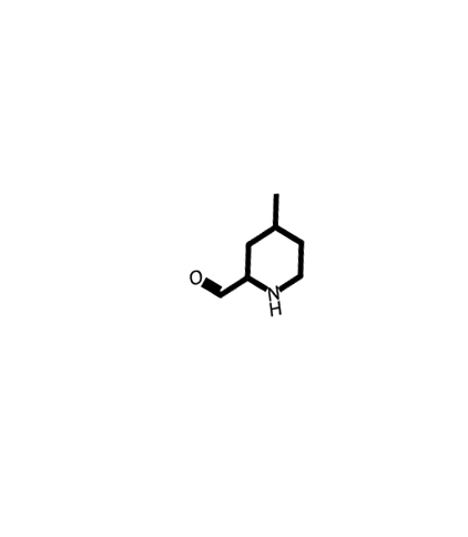 CC1CCNC(C=O)C1